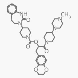 CN1CCN(C2CCN(C(=O)C(Cc3ccc4c(c3)OCCO4)OC(=O)N3CCC(N4CCc5ccccc5NC4=O)CC3)CC2)CC1